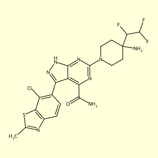 Cc1nc2ccc(-c3n[nH]c4nc(N5CCC(N)(C(F)C(F)F)CC5)nc(C(N)=O)c34)c(Cl)c2s1